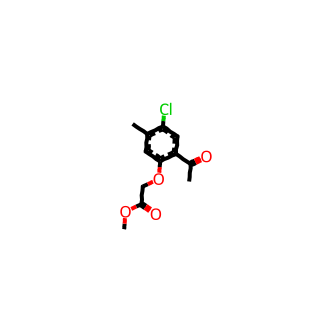 COC(=O)COc1cc(C)c(Cl)cc1C(C)=O